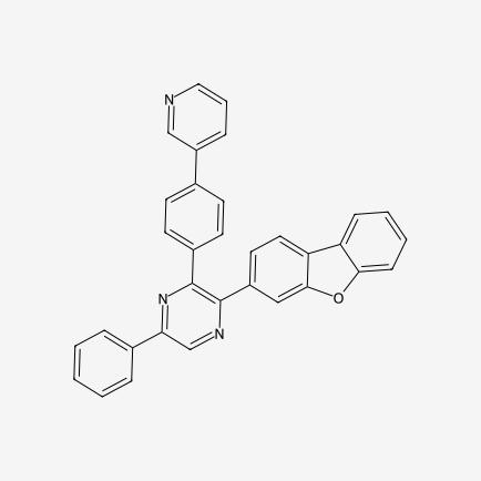 c1ccc(-c2cnc(-c3ccc4c(c3)oc3ccccc34)c(-c3ccc(-c4cccnc4)cc3)n2)cc1